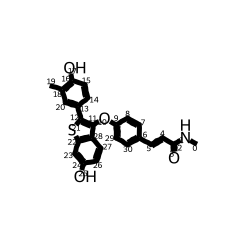 CNC(=O)C=Cc1ccc(Oc2c(-c3ccc(O)c(C)c3)sc3cc(O)ccc23)cc1